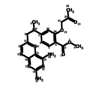 COC(=O)c1ccc(N(C)Cc2cnc3nc(N)nc(N)c3n2)cc1OCC(C)=O